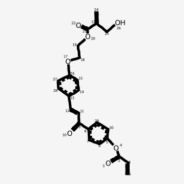 C=CC(=O)Oc1ccc(C(=O)/C=C/c2ccc(OCCOC(=O)C(=C)CO)cc2)cc1